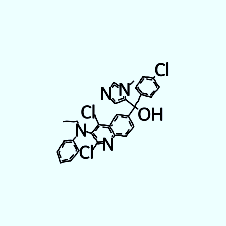 CCN(c1ccccc1)c1c(Cl)nc2ccc(C(O)(c3ccc(Cl)cc3)c3cncn3C)cc2c1Cl